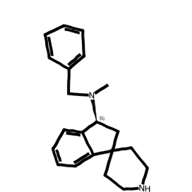 CN(Cc1ccccc1)[C@H]1CC2(CCNCC2)c2ccccc21